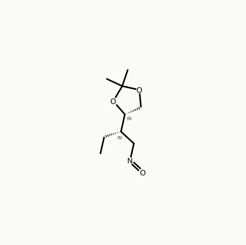 CC[C@@H](CN=O)[C@H]1COC(C)(C)O1